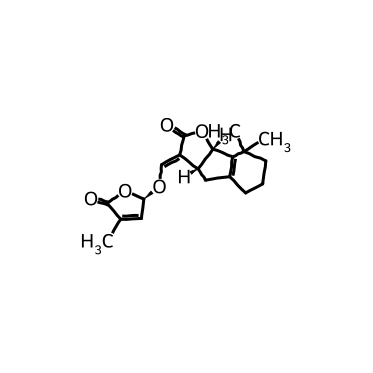 CC1=C[C@H](O/C=C2/C(=O)O[C@@H]3C4=C(CCCC4(C)C)C[C@H]23)OC1=O